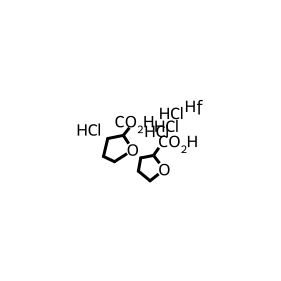 Cl.Cl.Cl.Cl.O=C(O)C1CCCO1.O=C(O)C1CCCO1.[Hf]